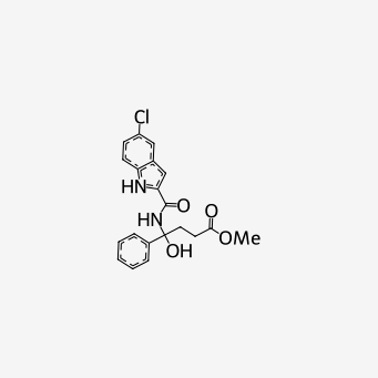 COC(=O)CCC(O)(NC(=O)c1cc2cc(Cl)ccc2[nH]1)c1ccccc1